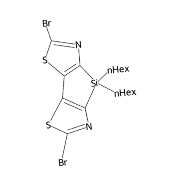 CCCCCC[Si]1(CCCCCC)c2nc(Br)sc2-c2sc(Br)nc21